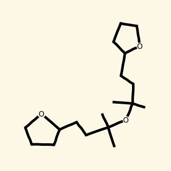 CC(C)(CCC1CCCO1)OC(C)(C)CCC1CCCO1